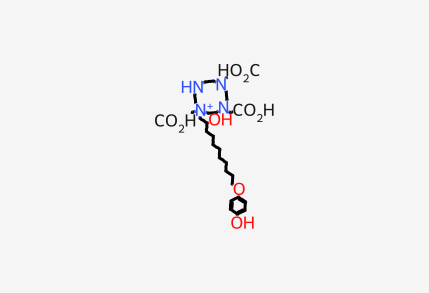 O=C(O)CN1CCNCC[N+](CC(=O)O)(CC(O)CCCCCCCCCOc2ccc(O)cc2)CCN(CC(=O)O)CC1